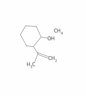 C.C=C(C)C1CCCCC1O